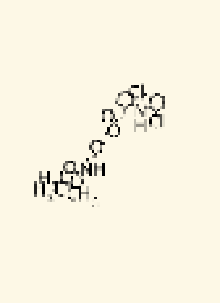 CC(C)(C)OC(=O)NCCOCCOC(=O)Cc1ccccc1Nc1c(Cl)cccc1Cl